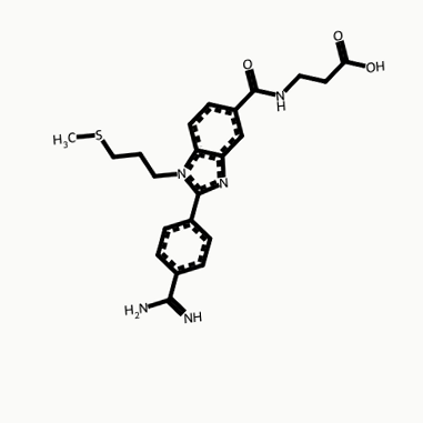 CSCCCn1c(-c2ccc(C(=N)N)cc2)nc2cc(C(=O)NCCC(=O)O)ccc21